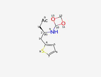 CC(=O)C[C@H](Cc1cccs1)NC1OCO1